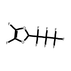 FC1=C(F)OC(C(F)(F)C(F)(F)C(F)(F)F)O1